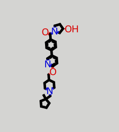 CC1(CN2CCC(COc3ccc(-c4ccc(C(=O)N5CC[C@H](O)C5)cc4)cn3)CC2)CCCC1